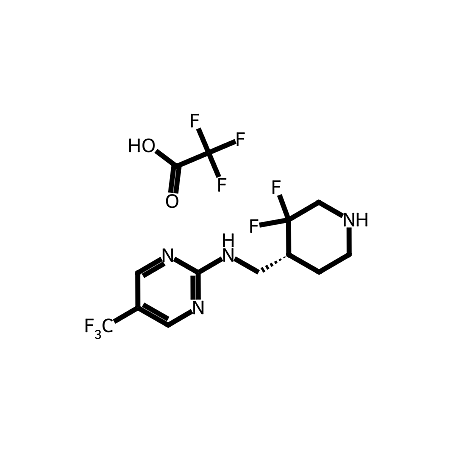 FC(F)(F)c1cnc(NC[C@H]2CCNCC2(F)F)nc1.O=C(O)C(F)(F)F